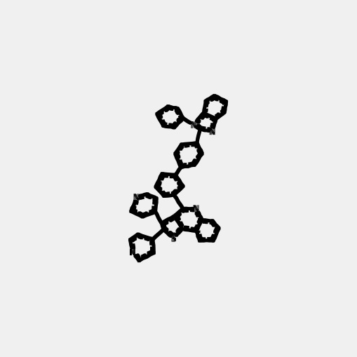 c1ccc(-n2c(-c3ccc(-c4cccc(-c5nc6ccccc6c6sc(-c7ccncc7)c(-c7ccncc7)c56)c4)cc3)nc3ccccc32)cc1